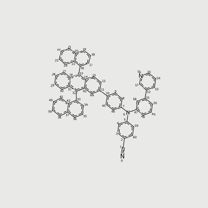 N#Cc1ccc(N(c2ccc(-c3ccc4c(-c5cccc6ccccc56)c5ccccc5c(-c5cccc6ccccc56)c4c3)cc2)c2cccc(-c3cccnc3)c2)cc1